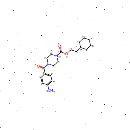 Nc1ccc(C(=O)N2CCN(C(=O)OCCC3CCCCC3)CC2)cc1